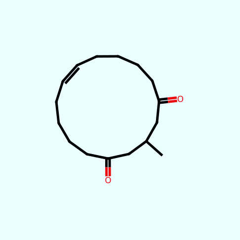 CC1CC(=O)CCCCC=CCCCCC(=O)C1